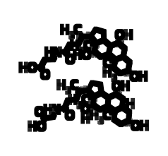 C[C@H](CCC(=O)NCC(=O)O)[C@H]1CCC2C3C(C[C@H](O)[C@@]21C)[C@@]1(C)CC[C@@H](O)C[C@H]1C[C@H]3O.C[C@H](CCC(=O)NCCC(=O)O)[C@H]1CCC2C3C(C[C@H](O)[C@@]21C)[C@@]1(C)CC[C@@H](O)CC1C[C@H]3O